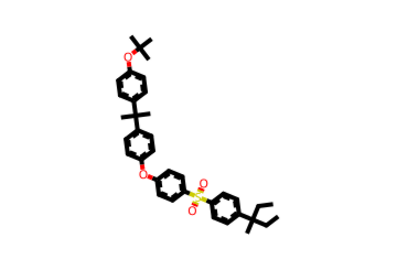 CCC(C)(CC)c1ccc(S(=O)(=O)c2ccc(Oc3ccc(C(C)(C)c4ccc(OC(C)(C)C)cc4)cc3)cc2)cc1